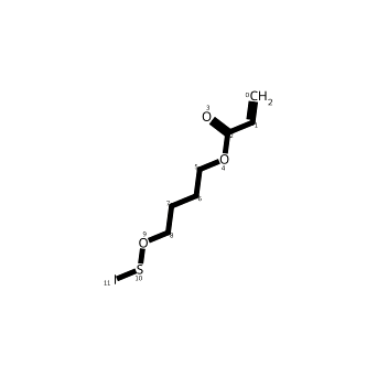 C=CC(=O)OCCCCOSI